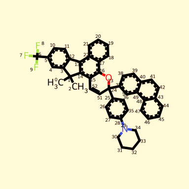 CC1(C)c2cc(C(F)(F)F)ccc2-c2c1c1c(c3ccccc23)OC(c2ccc(N3CCCCC3)cc2)(c2ccc3ccc4ccccc4c3c2)C=C1